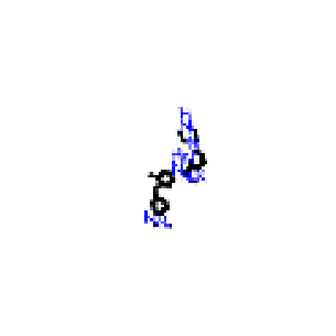 Cc1cc(Nc2ncnc3ccc(N4CCNCC4)nc23)ccc1Cc1ccc2c(c1)ncn2C